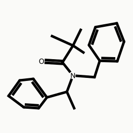 CC(c1ccccc1)N(Cc1ccccc1)C(=O)C(C)(C)C